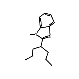 CCCC(CCC)c1nc2ccccc2n1C